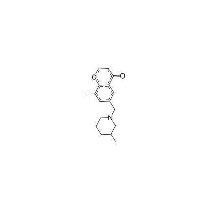 Cc1cc(CN2CCCC(C)C2)cc2c(=O)ccoc12